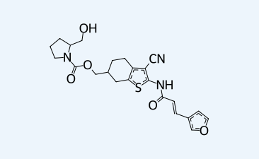 N#Cc1c(NC(=O)C=Cc2ccoc2)sc2c1CCC(COC(=O)N1CCCC1CO)C2